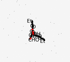 CC/C=C\CCCCOC(=O)CCCCC(=O)OCC(CO)(COC(=O)CCCCC=O)COC(=O)CCCCC(=O)OCCCC/C=C\CC